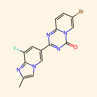 Cc1cn2cc(-c3nc(=O)n4cc(Br)ccc4n3)cc(F)c2n1